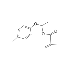 C=C(C)C(=O)OC(C)Oc1ccc(C)cc1